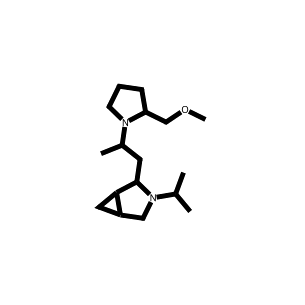 COCC1CCCN1C(C)CC1C2CC2CN1C(C)C